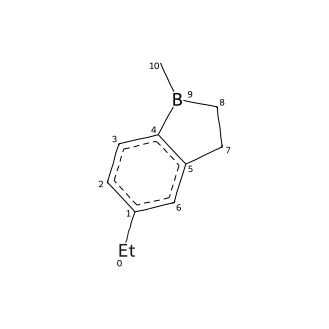 CCc1ccc2c(c1)CCB2C